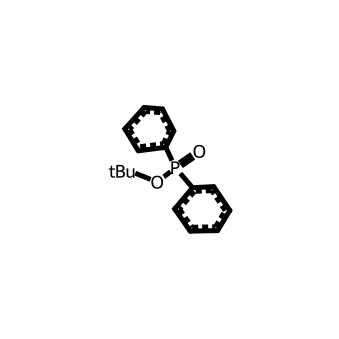 CC(C)(C)OP(=O)(c1ccccc1)c1ccccc1